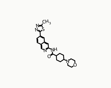 Cc1nnc(-c2ccc3cnc(NC(=O)C4CCC(N5CCOCC5)CC4)cc3c2)s1